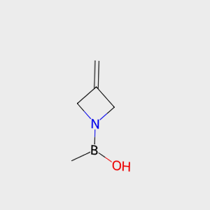 C=C1CN(B(C)O)C1